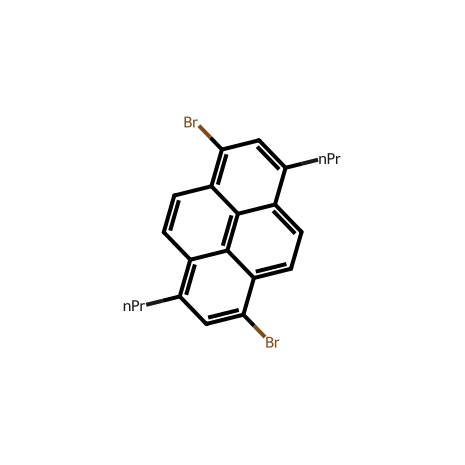 CCCc1cc(Br)c2ccc3c(CCC)cc(Br)c4ccc1c2c43